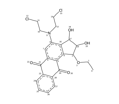 CCOC1c2c3c(cc(N(CCCl)CCCl)c2C(O)C1O)C(=O)c1ccccc1C3=O